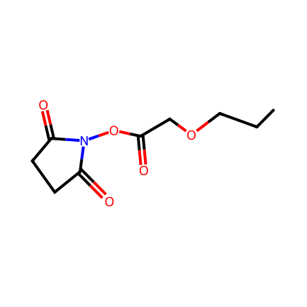 CCCOCC(=O)ON1C(=O)CCC1=O